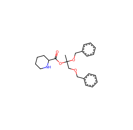 CC(COCc1ccccc1)(OCc1ccccc1)OC(=O)C1CCCCN1